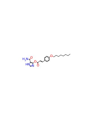 CCCCCCCCOc1ccc(C=CC(=O)Oc2nc[nH]c2C(N)=O)cc1